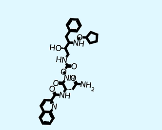 NC(=O)C[C@H](NC(=O)c1ccc2ccccc2n1)C(=O)NOC(=O)NC[C@@H](O)C(Cc1ccccc1)NOC1CCCC1